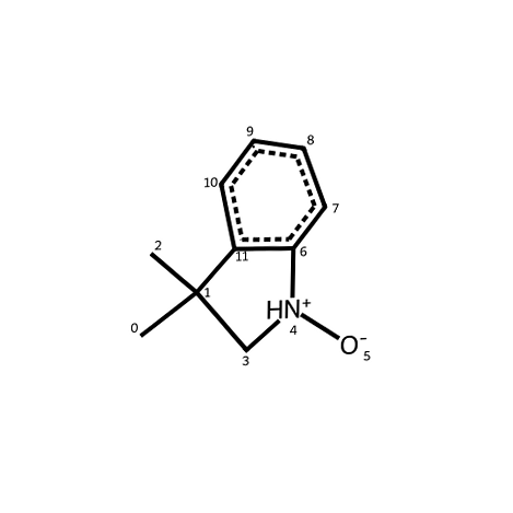 CC1(C)C[NH+]([O-])c2cc[c]cc21